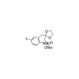 COC(=O)CC1(Cc2cc(F)ccc2[N+](=O)[O-])OCCO1